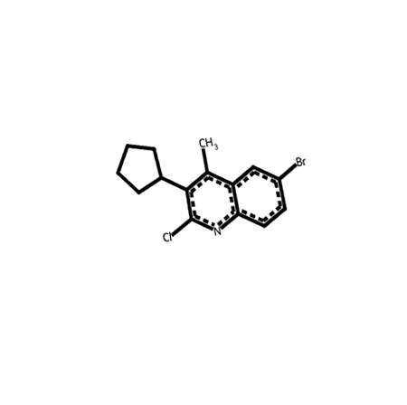 Cc1c(C2CCCC2)c(Cl)nc2ccc(Br)cc12